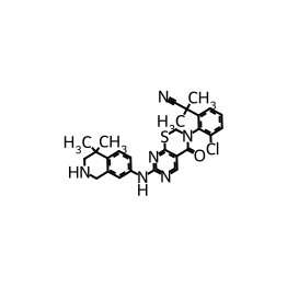 CC(C)(C#N)c1cccc(Cl)c1N1CSc2nc(Nc3ccc4c(c3)CNCC4(C)C)ncc2C1=O